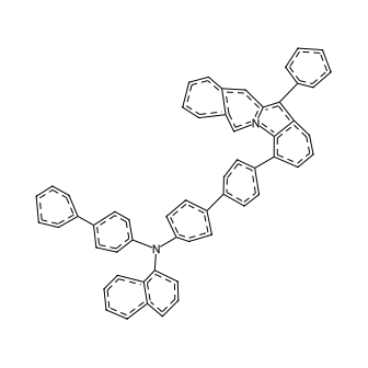 c1ccc(-c2ccc(N(c3ccc(-c4ccc(-c5cccc6c(-c7ccccc7)c7cc8ccccc8cn7c56)cc4)cc3)c3cccc4ccccc34)cc2)cc1